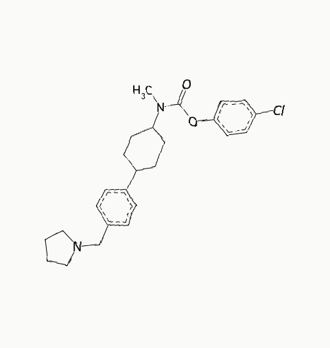 CN(C(=O)Oc1ccc(Cl)cc1)C1CCC(c2ccc(CN3CCCC3)cc2)CC1